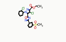 CCOC(=O)c1nn(-c2ccccc2Cl)c(-c2nc(-c3cccc(S(C)(=O)=O)c3)no2)c1Cl